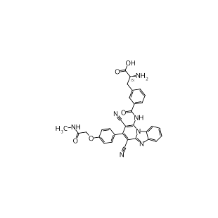 CNC(=O)COc1ccc(-c2c(C#N)c(NC(=O)c3cccc(C[C@H](N)C(=O)O)c3)n3c(nc4ccccc43)c2C#N)cc1